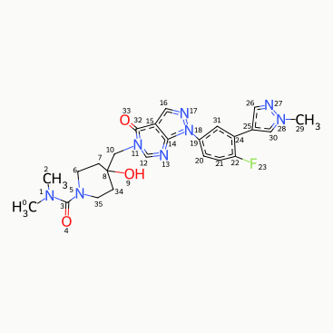 CN(C)C(=O)N1CCC(O)(Cn2cnc3c(cnn3-c3ccc(F)c(-c4cnn(C)c4)c3)c2=O)CC1